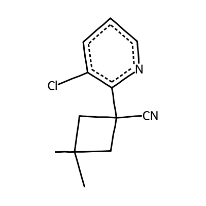 CC1(C)CC(C#N)(c2ncccc2Cl)C1